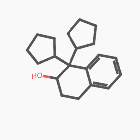 OC1CCc2ccccc2C1(C1CCCC1)C1CCCC1